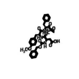 COc1ccc(C[C@H](NC(=O)C(CC(=O)O)NC(=O)OCc2ccccc2)C(=O)N[C@@H](Cc2ccccc2)C(=O)[C@]2(C)CO2)cc1